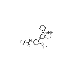 CC(C)Oc1ccc(N(C)C(=O)C(F)(F)F)cc1[C@H]1CO[C@]2(CCCN[C@H]2c2ccccc2)C1